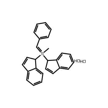 Cl.Cl.[CH3][Ti](=[CH]c1ccccc1)([CH]1C=Cc2ccccc21)[CH]1C=Cc2ccccc21